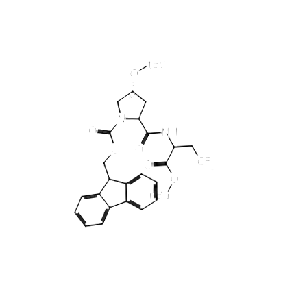 CCCCOC(=O)C(CC(F)(F)F)NC(=O)C1C[C@@H](OC(C)(C)C)CN1C(=O)OCC1c2ccccc2-c2ccccc21